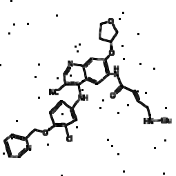 CC(C)(C)NCC=CC(=O)Nc1cc2c(Nc3ccc(OCc4ccccn4)c(Cl)c3)c(C#N)cnc2cc1O[C@H]1CCOC1